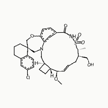 CO[C@@H]1/C=C/C[C@H](CO)[C@@H](C)S(=O)(=O)NC(=O)c2ccc3c(c2)N(C[C@@H]2CC[C@H]21)C[C@@]1(CCCc2cc(Cl)ccc21)CO3